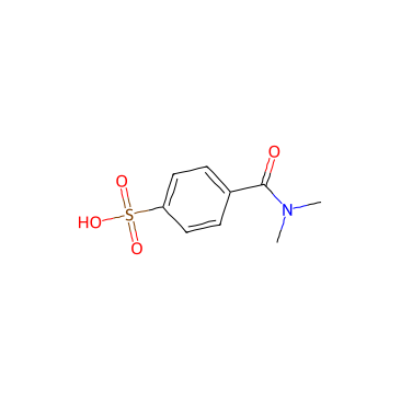 CN(C)C(=O)c1ccc(S(=O)(=O)O)cc1